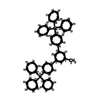 Cc1cc(-c2ccc([Si](c3ccccc3)(c3ccccc3)c3ccccc3)cc2)cc(-c2ccc([Si](c3ccccc3)(c3ccccc3)c3ccccc3)cc2)c1